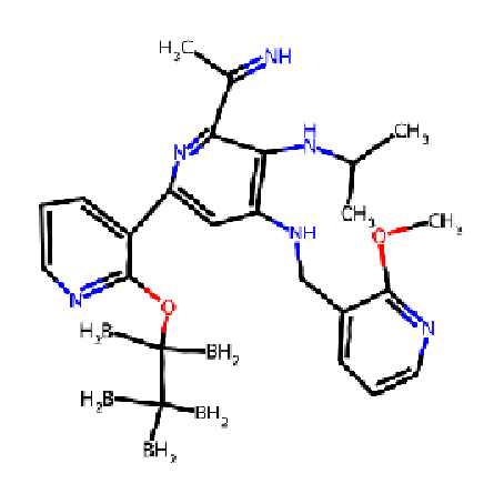 BC(B)(B)C(B)(B)Oc1ncccc1-c1cc(NCc2cccnc2OC)c(NC(C)C)c(C(C)=N)n1